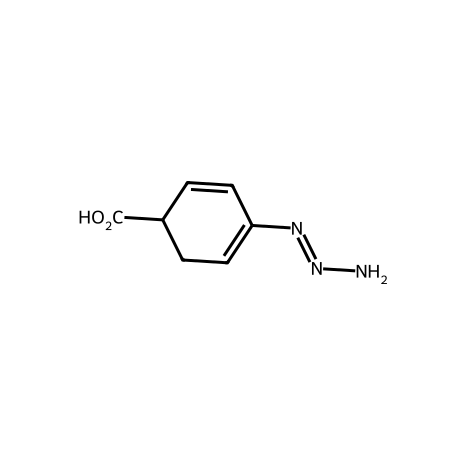 NN=NC1=CCC(C(=O)O)C=C1